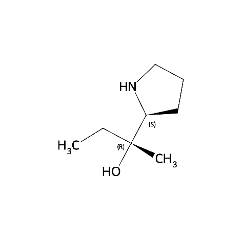 CC[C@@](C)(O)[C@@H]1CCCN1